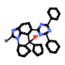 CCc1nc2ccc(-c3nc(-c4ccccc4)nc(-c4ccccc4)n3)c3c2n1-c1ccccc1C3(O)c1ccccc1